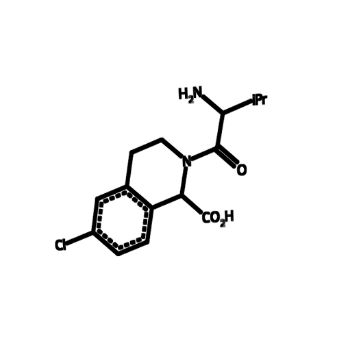 CC(C)C(N)C(=O)N1CCc2cc(Cl)ccc2C1C(=O)O